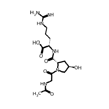 CC(=O)NCC(=O)N1C[C@H](O)C[C@H]1C(=O)N[C@@H](CCCNC(=N)N)C(=O)O